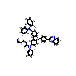 C=C(/C=C\C=C/C)N(c1ccccc1)c1ccc2c(c1)c1cc(N(c3ccccc3)c3ccccc3)ccc1n2-c1ccc(-c2cnc3ccccc3n2)cc1